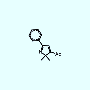 CC(=O)C1=CC(c2ccccc2)=NC1(C)C